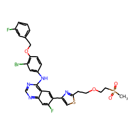 CS(=O)(=O)CCOCCc1nc(-c2cc3c(Nc4ccc(OCc5cccc(F)c5)c(Br)c4)ncnc3cc2F)cs1